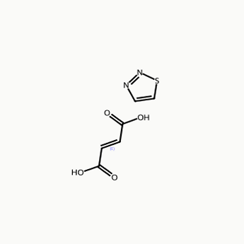 O=C(O)/C=C/C(=O)O.c1csnn1